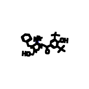 CC(C)(C)c1cc(C(=O)CN2C[C@H](CO)[C@@H](Cc3ccccc3)/C2=N/Br)cc(C(C)(C)C)c1O